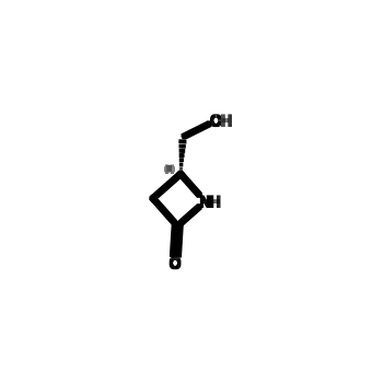 O=C1C[C@H](CO)N1